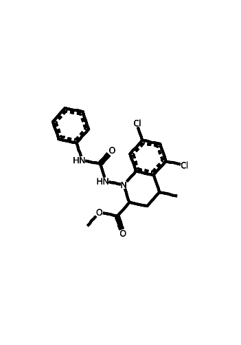 COC(=O)C1CC(C)c2c(Cl)cc(Cl)cc2N1NC(=O)Nc1ccccc1